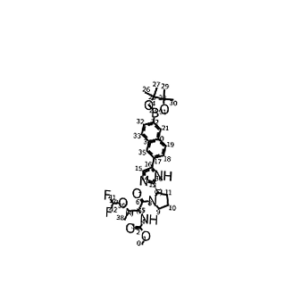 COC(=O)N[C@H](C(=O)N1CCC[C@H]1c1ncc(-c2ccc3cc(B4OC(C)(C)C(C)(C)O4)ccc3c2)[nH]1)[C@@H](C)OC(F)F